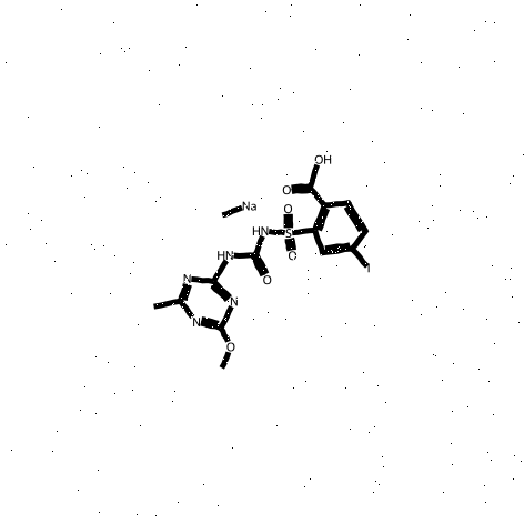 COc1nc(C)nc(NC(=O)NS(=O)(=O)c2cc(I)ccc2C(=O)O)n1.[CH3][Na]